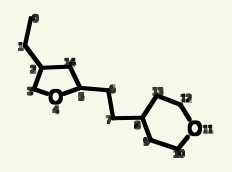 CCC1COC(CCC2CCOCC2)C1